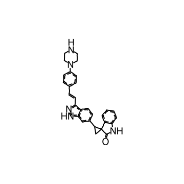 O=C1Nc2ccccc2C12CC2c1ccc2c(/C=C/c3ccc(N4CCNCC4)cc3)n[nH]c2c1